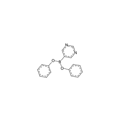 c1ccc(OB(Oc2ccccc2)c2cncnc2)cc1